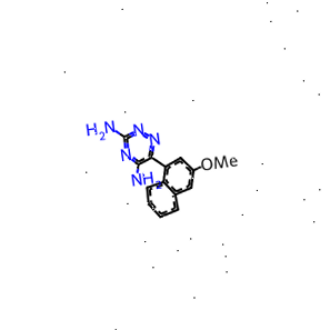 COc1cc(-c2nnc(N)nc2N)c2ccccc2c1